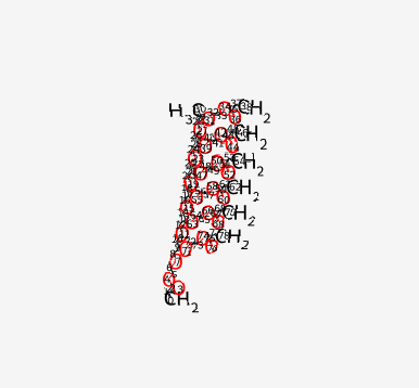 C=CC(=O)OCCOCC(COCC(COCC(COCC(COCC(COCC(C)OCCOC(=O)C=C)OCCOC(=O)C=C)OCCOC(=O)C=C)OCCOC(=O)C=C)OCCOC(=O)C=C)OCCOC(=O)C=C